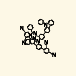 N#Cc1ccc(-c2ccc3c4ccc(-c5ccc(C#N)cc5C#N)cc4n(-c4ccc(-c5ccc6c7ccccc7n(-c7ccccc7)c6c5)cc4-c4nc(-c5ccccc5)nc(-c5ccccc5)n4)c3c2)c(C#N)c1